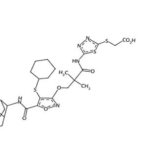 CC(C)(COc1noc(C(=O)NC2C3CC4CC(C3)CC2C4)c1SC1CCCCC1)C(=O)Nc1nnc(SCC(=O)O)s1